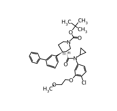 COCCOc1cc(N(C(=O)[C@H]2CN(C(=O)OC(C)(C)C)CC[C@@H]2c2cccc(-c3ccccc3)c2)C2CC2)ccc1Cl